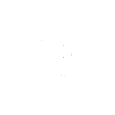 Cc1cc([N+](=O)[O-])cnc1NN.NN.O